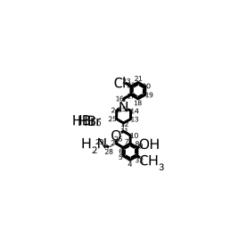 Br.Br.Cc1ccc2c(c1O)C[C@@H](C1CCN(Cc3ccccc3Cl)CC1)O[C@H]2CN